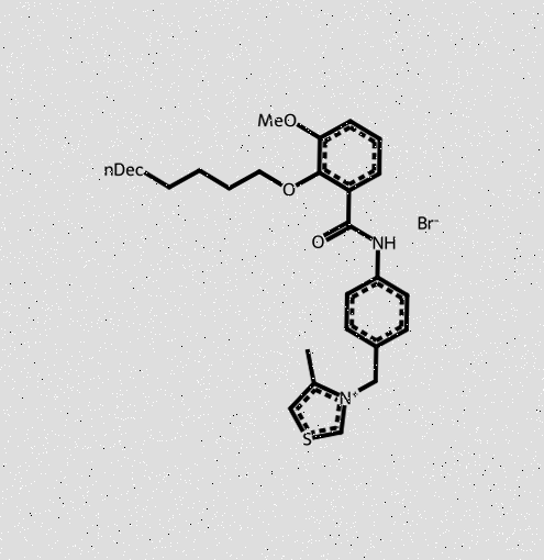 CCCCCCCCCCCCCCOc1c(OC)cccc1C(=O)Nc1ccc(C[n+]2cscc2C)cc1.[Br-]